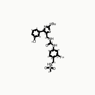 CC(C)(C)c1nc(-c2cccc(Cl)c2)c(CNC(=O)Nc2ccc(CNS(C)(=O)=O)c(F)c2)s1